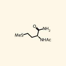 CSCC[C@H](NC(C)=O)C(N)=O